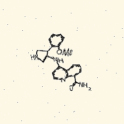 COc1ccccc1C1CNCC1Nc1ccnc2c(C(N)=O)cccc12